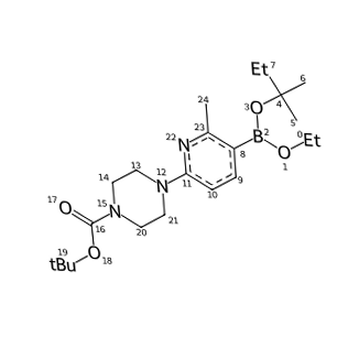 CCOB(OC(C)(C)CC)c1ccc(N2CCN(C(=O)OC(C)(C)C)CC2)nc1C